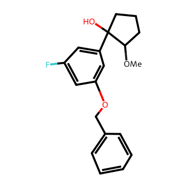 COC1CCCC1(O)c1cc(F)cc(OCc2ccccc2)c1